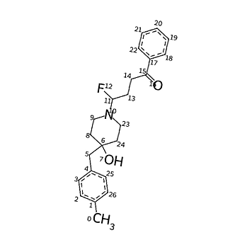 Cc1ccc(CC2(O)CCN(C(F)CCC(=O)c3ccccc3)CC2)cc1